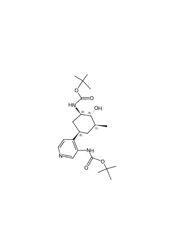 C[C@H]1C[C@@H](c2ccncc2NC(=O)OC(C)(C)C)C[C@@H](NC(=O)OC(C)(C)C)[C@@H]1O